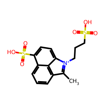 CC1=[N+](CCCS(=O)(=O)O)c2ccc(S(=O)(=O)O)c3cccc1c23